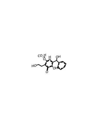 O=C(O)Oc1[nH]c(C(O)c2ccccc2)c(O)c(=O)c1CCO